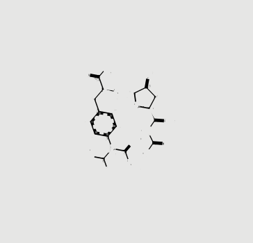 CC(=O)OC(=O)[C@@H]1CC(=S)CN1.CC(C)N(C(N)=O)c1ccc(C[C@H](N)C(=O)O)cc1